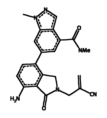 C=C(C#N)CN1Cc2c(-c3cc(C(=O)NC)c4cnn(C)c4c3)ccc(N)c2C1=O